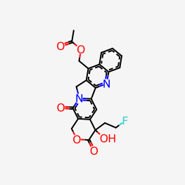 CC(=O)OCc1c2c(nc3ccccc13)-c1cc3c(c(=O)n1C2)COC(=O)C3(O)CCF